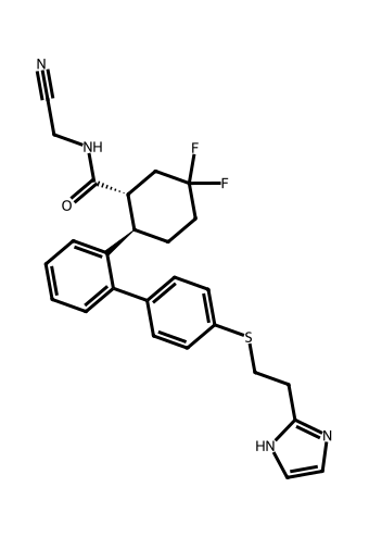 N#CCNC(=O)[C@@H]1CC(F)(F)CC[C@H]1c1ccccc1-c1ccc(SCCc2ncc[nH]2)cc1